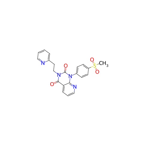 CS(=O)(=O)c1ccc(-n2c(=O)n(CCc3ccccn3)c(=O)c3cccnc32)cc1